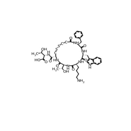 C[C@@H](O)[C@H](NC(=O)[C@@H]1CSSCCC(=O)N[C@@H](Cc2ccccc2)C(=O)N[C@H](Cc2c[nH]c3ccccc23)C(=O)N[C@@H](CCCCN)C(=O)N[C@@H]([C@@H](C)O)C(=O)N1)C(=O)O